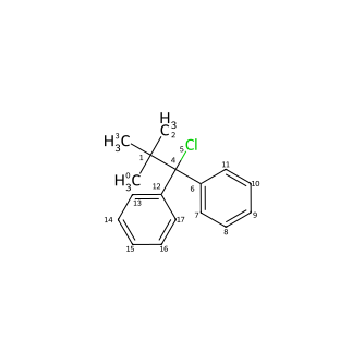 CC(C)(C)C(Cl)(c1ccccc1)c1ccccc1